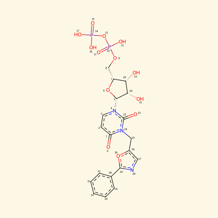 O=c1ccn([C@@H]2O[C@H](COP(=O)(O)OP(=O)(O)O)[C@H](O)[C@@H]2O)c(=O)n1Cc1cnc(-c2ccccc2)o1